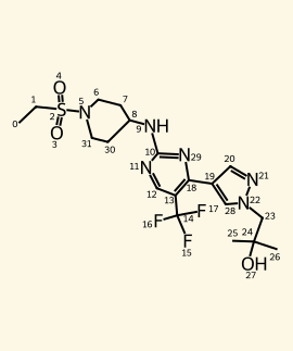 CCS(=O)(=O)N1CCC(Nc2ncc(C(F)(F)F)c(-c3cnn(CC(C)(C)O)c3)n2)CC1